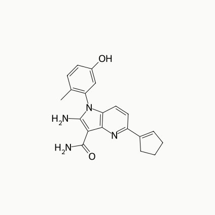 Cc1ccc(O)cc1-n1c(N)c(C(N)=O)c2nc(C3=CCCC3)ccc21